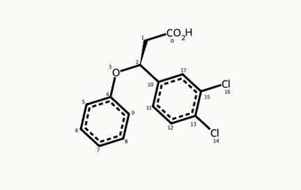 O=C(O)C[C@H](Oc1ccccc1)c1ccc(Cl)c(Cl)c1